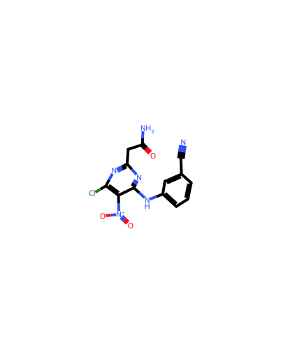 N#Cc1cccc(Nc2nc(CC(N)=O)nc(Cl)c2[N+](=O)[O-])c1